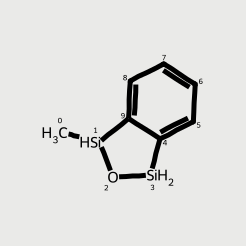 C[SiH]1O[SiH2]c2ccccc21